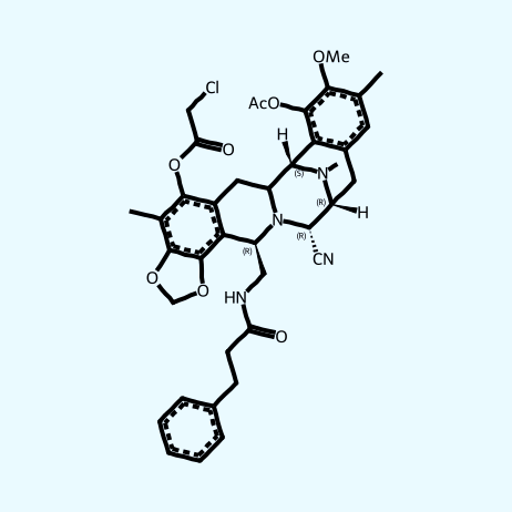 COc1c(C)cc2c(c1OC(C)=O)[C@H]1C3Cc4c(OC(=O)CCl)c(C)c5c(c4[C@H](CNC(=O)CCc4ccccc4)N3[C@@H](C#N)[C@@H](C2)N1C)OCO5